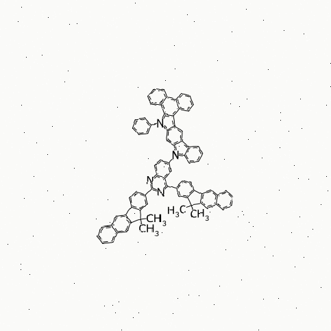 CC1(C)c2cc(-c3nc(-c4ccc5c(c4)C(C)(C)c4cc6ccccc6cc4-5)c4cc(-n5c6ccccc6c6cc7c8c9ccccc9c9ccccc9c8n(-c8ccccc8)c7cc65)ccc4n3)ccc2-c2cc3ccccc3cc21